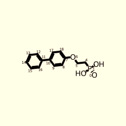 O=P(O)(O)CCOc1ccc(-c2ccccc2)cc1